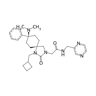 CN(C)[C@]1(c2ccccc2)CC[C@@]2(CC1)CN(CC(=O)NCc1cnccn1)C(=O)N2CC1CCC1